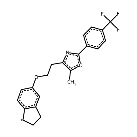 Cc1oc(-c2ccc(C(F)(F)F)cc2)nc1CCOc1ccc2c(c1)CC[C]2